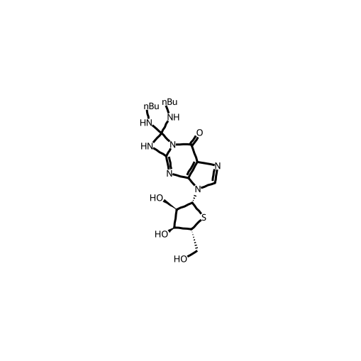 CCCCNC1(NCCCC)Nc2nc3c(ncn3[C@@H]3S[C@H](CO)[C@@H](O)[C@H]3O)c(=O)n21